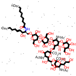 CCCCCCCCCCCCC/C=C/[C@@H](O)[C@H](CO[C@@H]1OC(CO)[C@@H](O[C@@H]2OC(CO)[C@H](O[C@@H]3OC(CO[C@]4(C(=O)O)CC(O)[C@@H](NC(C)=O)C([C@H](O)[C@@H](CO)O[C@]5(C(=O)O)CC(O)[C@@H](NC(C)=O)C([C@H](O)[C@H](O)CO)O5)O4)[C@H](O)[C@H](O[C@@H]4OC(CO)[C@H](O)[C@H](O)C4O)C3NC(C)=O)[C@H](O)C2O)[C@H](O)C1O)NC(=O)CCCCCCCCCCCCCCCCC